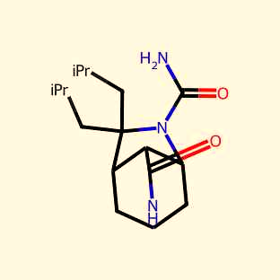 CC(C)CC1(CC(C)C)C2CC3CC(C2C(=O)N3)N1C(N)=O